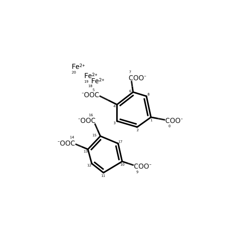 O=C([O-])c1ccc(C(=O)[O-])c(C(=O)[O-])c1.O=C([O-])c1ccc(C(=O)[O-])c(C(=O)[O-])c1.[Fe+2].[Fe+2].[Fe+2]